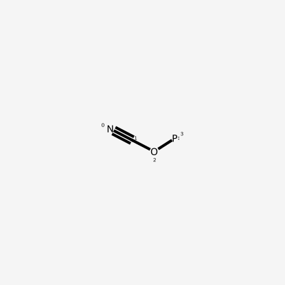 N#CO[P]